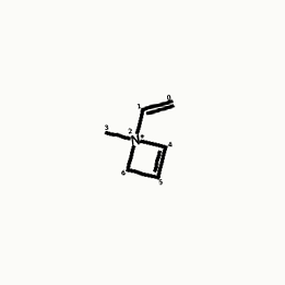 C=C[N+]1(C)C=CC1